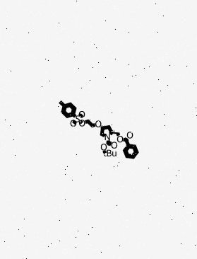 Cc1ccc(S(=O)(=O)OCCO[C@@H]2C[C@@H](COC(=O)c3ccccc3)N(C(=O)OC(C)(C)C)C2)cc1